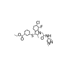 CCOC(=O)c1cccc(Sc2c(C)n(CC(=O)Nc3cnn(C)c3)c3c(F)c(Cl)ccc23)c1